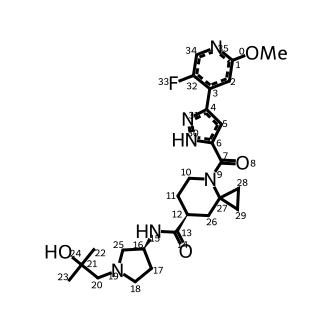 COc1cc(-c2cc(C(=O)N3CC[C@H](C(=O)N[C@H]4CCN(CC(C)(C)O)C4)CC34CC4)[nH]n2)c(F)cn1